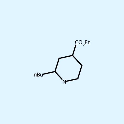 CCCCC1CC(C(=O)OCC)CC[N]1